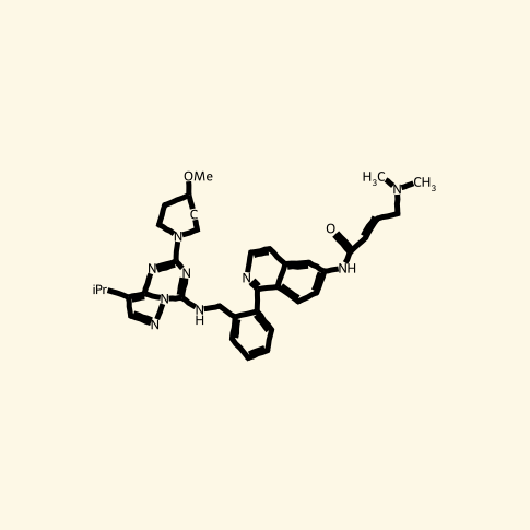 COC1CCN(c2nc(NCc3ccccc3-c3nccc4cc(NC(=O)/C=C/CN(C)C)ccc34)n3ncc(C(C)C)c3n2)CC1